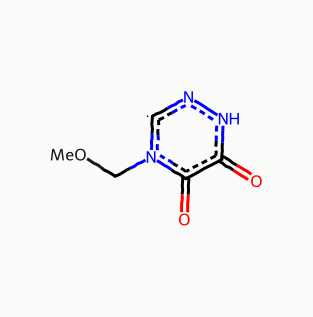 COCn1[c]n[nH]c(=O)c1=O